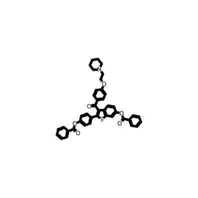 O=C(Oc1ccc(-c2sc3cc(OC(=O)c4ccccc4)ccc3c2C(=O)c2ccc(OCCN3CCCCC3)cc2)cc1)c1ccccc1